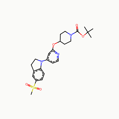 CC(C)(C)OC(=O)N1CCC(Oc2cc(N3CCc4cc(S(C)(=O)=O)ccc43)ccn2)CC1